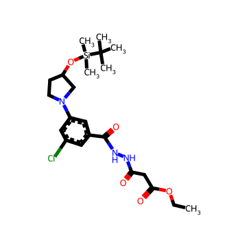 CCOC(=O)CC(=O)NNC(=O)c1cc(Cl)cc(N2CCC(O[Si](C)(C)C(C)(C)C)C2)c1